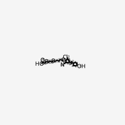 CC(C)(c1ccc(O)cc1)c1cc(Cl)c(OCCCCCOCCCOCC(=O)O)c(C#N)c1